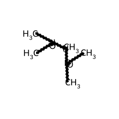 CCCCCCCCCCCCN(CCCCCCCCN(C)CCCCCCCCN(CCCCCCCCCCCC)C(=O)CCCCCCCCCCC)C(=O)CCCCCCCCCCC